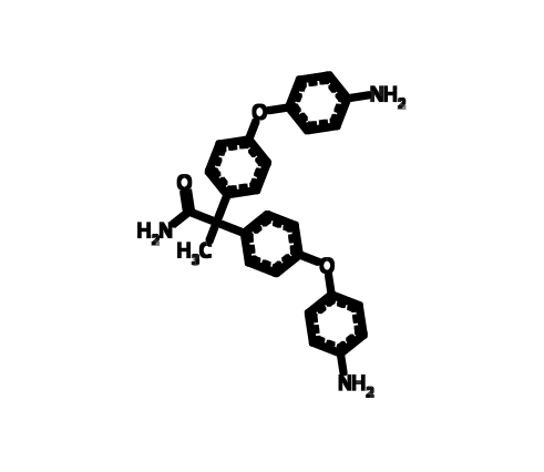 CC(C(N)=O)(c1ccc(Oc2ccc(N)cc2)cc1)c1ccc(Oc2ccc(N)cc2)cc1